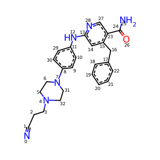 N#CCCN1CCN(c2ccc(Nc3cc(Cc4ccccc4)c(C(N)=O)cn3)cc2)CC1